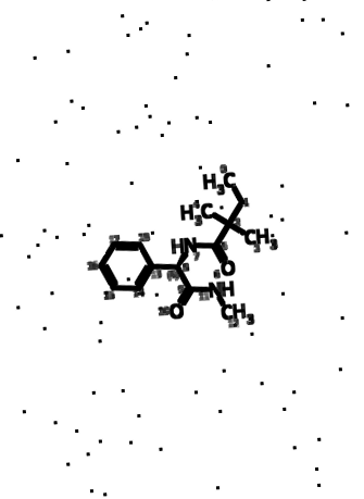 CCC(C)(C)C(=O)N[C@@H](C(=O)NC)c1ccccc1